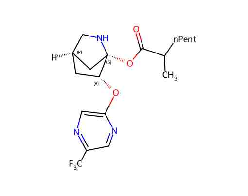 CCCCCC(C)C(=O)O[C@]12C[C@H](CN1)C[C@H]2Oc1cnc(C(F)(F)F)cn1